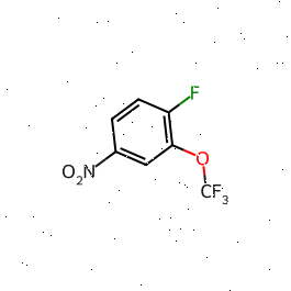 O=[N+]([O-])c1ccc(F)c(OC(F)(F)F)c1